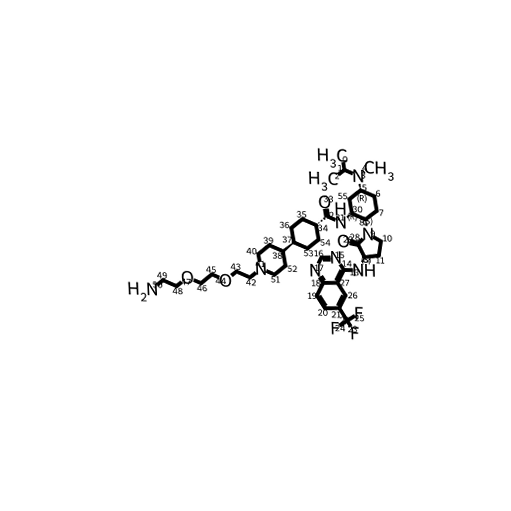 CC(C)N(C)[C@@H]1CC[C@H](N2CC[C@H](Nc3ncnc4ccc(C(F)(F)F)cc34)C2=O)[C@H](NC(=O)[C@H]2CC[C@H](C3CCN(CCOCCOCCN)CC3)CC2)C1